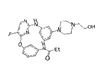 CCC(=O)Nc1cccc(Oc2nc(Nc3cccc(N4CCN(CCO)CC4)c3)ncc2F)c1